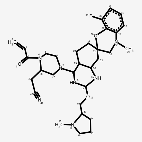 C=CC(=O)N1CCN(C2NC(OCC3CCCN3C)NC3C[C@]4(CCC32)CN(C)c2cccc(F)c2O4)CC1CC#N